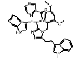 COc1ccc(Cn2c(CCc3c[nH]c4ccccc34)nnc2C(Cc2c[nH]c3ccccc23)NC(=O)c2cnccn2)c(OC)c1